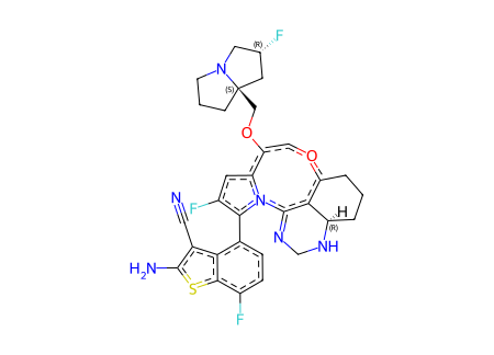 N#Cc1c(N)sc2c(F)ccc(-c3c(F)cc4c(OC[C@@]56CCCN5C[C@H](F)C6)coc5c6c(n34)=NCN[C@@H]6CCC5)c12